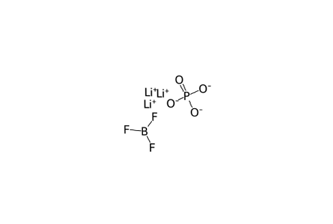 FB(F)F.O=P([O-])([O-])[O-].[Li+].[Li+].[Li+]